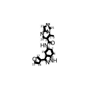 Cc1c(C(=O)Nc2ccc3[nH]nc(-c4ccoc4)c3c2)cnc2cncn12